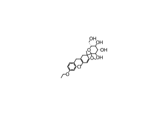 CCOc1ccc(CC2=C(Cl)C=CC(C)([C@]3(OC)O[C@H](CO)[C@@H](O)[C@H](O)[C@H]3O)C2)cc1